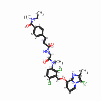 CCN(C)C(=O)c1ccc(/C=C/C(=O)NCC(=O)N(C)c2ccc(Cl)c(COc3cccn4c(Br)c(C)nc34)c2Cl)cc1